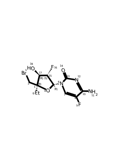 CC[C@@]1(CBr)O[C@@H](n2cc(F)c(N)nc2=O)[C@@H](F)[C@@H]1O